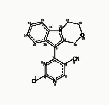 N#Cc1cnc(Cl)nc1-c1c2n(c3ccccc13)CCOC2